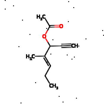 C#CC(OC(C)=O)C(C)=CCC